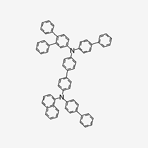 c1ccc(-c2ccc(N(c3ccc(-c4ccc(N(c5ccc(-c6ccccc6)cc5)c5cccc6ccccc56)cc4)cc3)c3ccc(-c4ccccc4)c(-c4ccccc4)c3)cc2)cc1